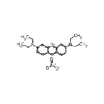 CCN(CC)c1ccc2cc3ccc(N(CC)CC)cc3[o+]c2c1.O=[N+]([O-])[O-]